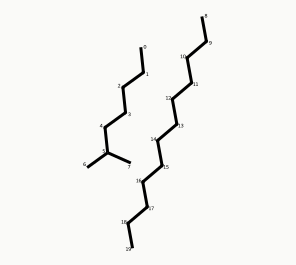 CCCCCC(C)C.CCCCCCCCCCCC